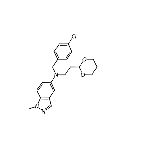 Cn1ncc2cc(N(CCC3OCCCO3)Cc3ccc(Cl)cc3)ccc21